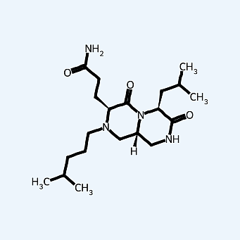 CC(C)CCCN1C[C@H]2CNC(=O)[C@H](CC(C)C)N2C(=O)[C@@H]1CCC(N)=O